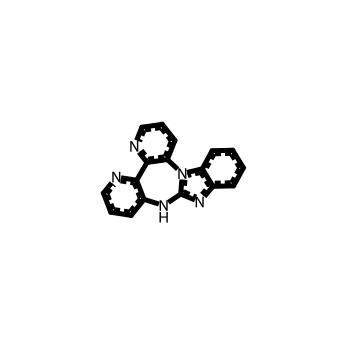 c1cnc2c(c1)Nc1nc3ccccc3n1-c1cccnc1-2